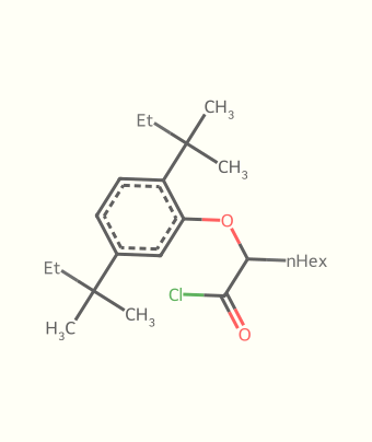 CCCCCCC(Oc1cc(C(C)(C)CC)ccc1C(C)(C)CC)C(=O)Cl